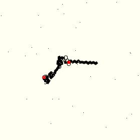 CCCCCCCCCCCCCCCC(=O)OC(C)N1C(=O)CC(C)(C)c2ccc(OCCCCN3CCN(c4cccc5sccc45)CC3)cc21